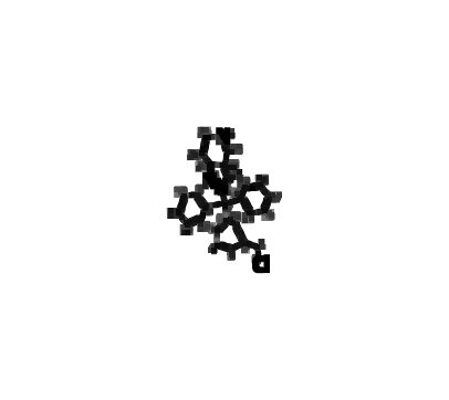 ClCc1cccc(C(c2ccccc2)(c2ccccc2)n2cc3cnccc3n2)c1